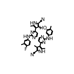 Cc1cc(Nc2nccc(-c3c(C)[nH]c(C#N)c3C)n2)ccc1F.Cc1ccc(Nc2nccc(-c3c(C)[nH]c(C#N)c3C)n2)cc1O